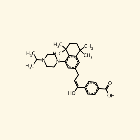 CC(C)N1CCN(c2cc(C/C=C(/O)c3ccc(C(=O)O)cc3)cc3c2C(C)(C)CCC3(C)C)CC1